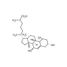 CC(CCCC(C)[C@H]1CC[C@H]2[C@@H]3[C@H](O)C=C4C[C@@H](O)CC[C@]4(C)[C@H]3CC[C@]12C)C(=O)O